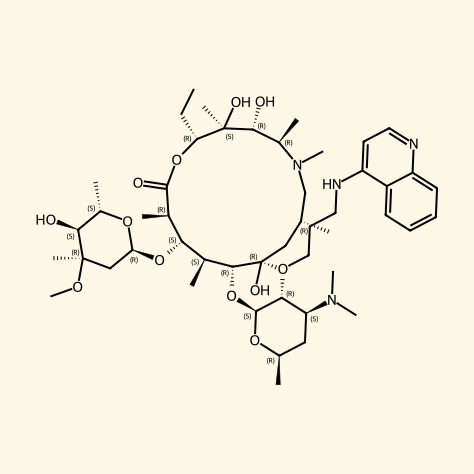 CC[C@H]1OC(=O)[C@H](C)[C@@H](O[C@H]2C[C@@](C)(OC)[C@@H](O)[C@H](C)O2)[C@H](C)[C@@H](O[C@@H]2O[C@H](C)C[C@H](N(C)C)[C@H]2OCCCNc2ccnc3ccccc23)[C@](C)(O)C[C@@H](C)CN(C)[C@H](C)[C@@H](O)[C@]1(C)O